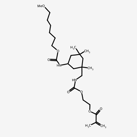 C=C(C)C(=O)OCCOC(=O)NCC1(C)CC(NC(=O)OCCCCCCOC)CC(C)(C)C1